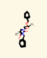 Cc1cn(C2CC(OCc3ccccc3)C(C)O2)c(=O)n(Cc2ccccc2)c1=O